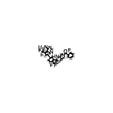 Nc1ncnn2c(-c3ccc(C(F)(F)F)c(C(=O)N[C@@H]4CN(C(=O)c5ccccc5F)C[C@@H]4F)c3)cc(C(F)(F)F)c12